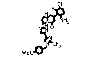 COc1ccc(Cn2cc(-c3cnc([C@@H]4CC[C@@H]5CC(c6c(N)ccc(Cl)c6F)=CC(=O)N54)[nH]3)nc2C(F)(F)F)cc1